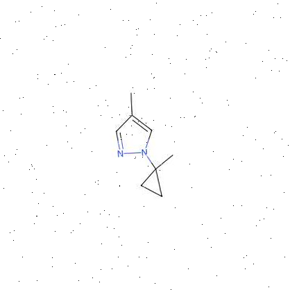 Cc1cnn(C2(C)CC2)c1